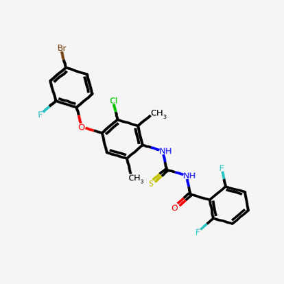 Cc1cc(Oc2ccc(Br)cc2F)c(Cl)c(C)c1NC(=S)NC(=O)c1c(F)cccc1F